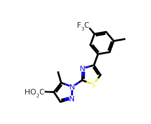 Cc1cc(-c2csc(-n3ncc(C(=O)O)c3C)n2)cc(C(F)(F)F)c1